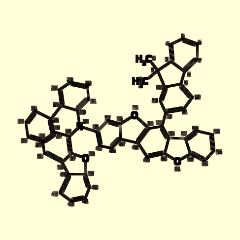 CC1(C)c2ccccc2-c2ccc(-c3c4oc5cc(N(c6ccccc6-c6ccccc6)c6cccc7c6oc6ccccc67)ccc5c4cc4oc5ccccc5c34)cc21